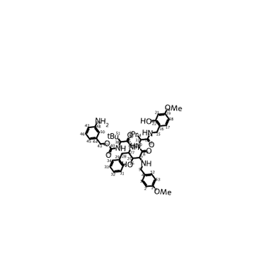 COc1ccc(CNC(C(=O)NC(C(=O)NCc2ccc(OC)cc2O)C(C)C)C(O)C(Cc2ccccc2)NC(=O)C(NC(=O)OCc2cccc(N)c2)C(C)(C)C)cc1